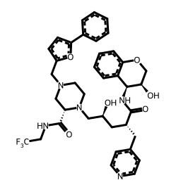 O=C(N[C@H]1c2ccccc2OC[C@H]1O)[C@H](Cc1ccncc1)C[C@H](O)CN1CCN(Cc2ccc(-c3ccccc3)o2)C[C@H]1C(=O)NCC(F)(F)F